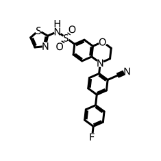 N#Cc1cc(-c2ccc(F)cc2)ccc1N1CCOc2cc(S(=O)(=O)Nc3nccs3)ccc21